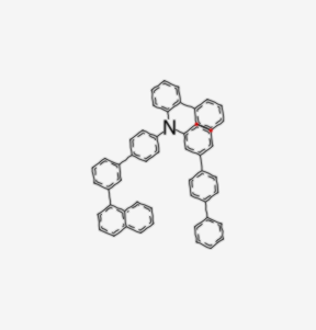 c1ccc(-c2ccc(-c3cccc(N(c4ccc(-c5cccc(-c6cccc7ccccc67)c5)cc4)c4ccccc4-c4ccccc4)c3)cc2)cc1